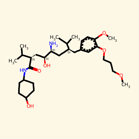 COCCCOc1cc(C[C@@H](C[C@H](N)[C@@H](O)C[C@H](C(=O)NC2CCC(O)CC2)C(C)C)C(C)C)ccc1OC